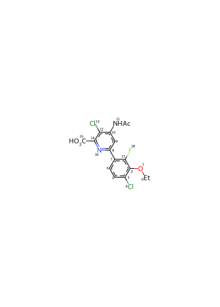 CCOc1c(Cl)ccc(-c2cc(NC(C)=O)c(Cl)c(C(=O)O)n2)c1F